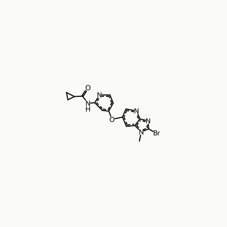 Cn1c(Br)nc2ncc(Oc3ccnc(NC(=O)C4CC4)c3)cc21